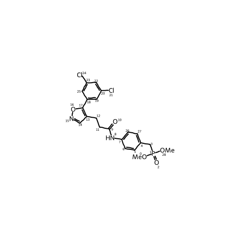 COP(=O)(Cc1ccc(NC(=O)CCc2cnoc2-c2cc(Cl)cc(Cl)c2)cc1)OC